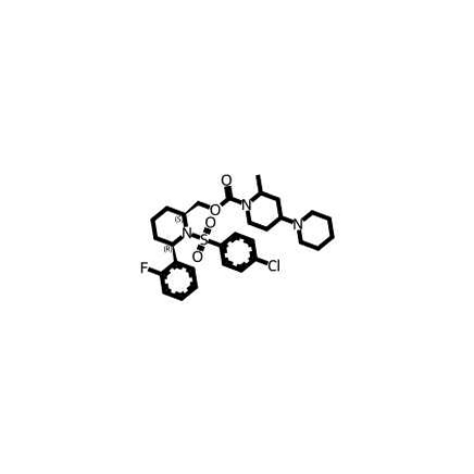 CC1CC(N2CCCCC2)CCN1C(=O)OC[C@@H]1CCC[C@H](c2ccccc2F)N1S(=O)(=O)c1ccc(Cl)cc1